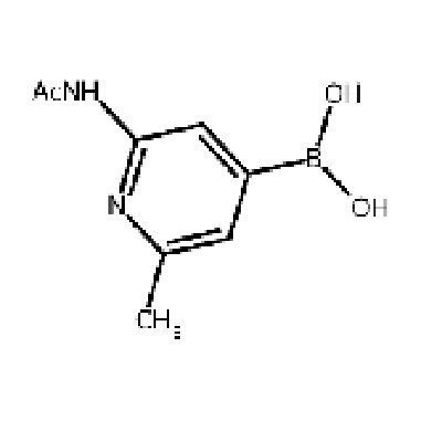 CC(=O)Nc1cc(B(O)O)cc(C)n1